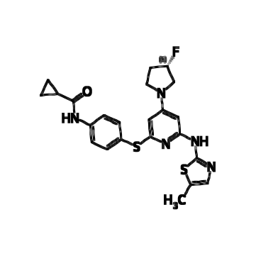 Cc1cnc(Nc2cc(N3CC[C@H](F)C3)cc(Sc3ccc(NC(=O)C4CC4)cc3)n2)s1